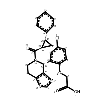 O=C(O)COc1ccc(Cl)cc1[C@@H]1c2scnc2CCN1C(=O)[C@@H]1C[C@H]1c1ccccc1